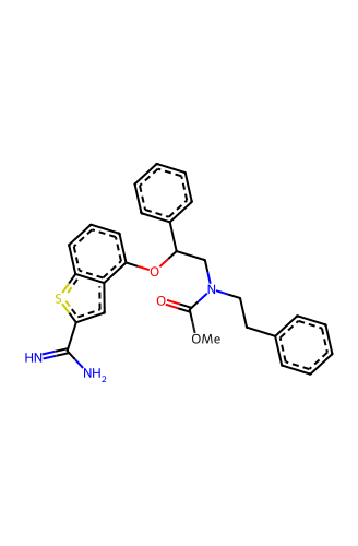 COC(=O)N(CCc1ccccc1)CC(Oc1cccc2sc(C(=N)N)cc12)c1ccccc1